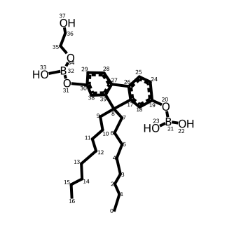 CCCCCCCCC1(CCCCCCCC)c2cc(OB(O)O)ccc2-c2ccc(OB(O)OCCO)cc21